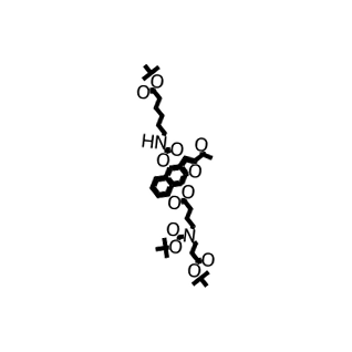 CC(=O)c1cc2c(OC(=O)NCCCCCC(=O)OC(C)(C)C)c3ccccc3c(OC(=O)CCCN(CCC(=O)OC(C)(C)C)C(=O)OC(C)(C)C)c2o1